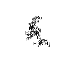 Cc1cn(COCC[Si](C)(C)C)c2nccc(-c3c(-c4ccc5cc(F)sc5c4)nn4c3CN(C(=O)OC(C)(C)C)CC4)c12